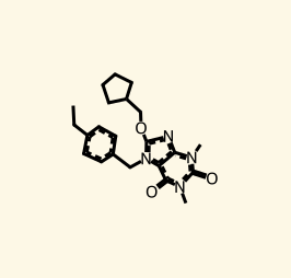 CCc1ccc(Cn2c(OCC3CCCC3)nc3c2c(=O)n(C)c(=O)n3C)cc1